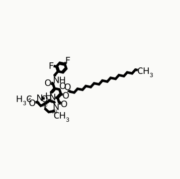 CCCCCCCCCCCCCCCCCC(=O)Oc1c2n(cc(C(=O)NCc3ccc(F)cc3F)c1=O)[C@@H]1CN(C2=O)[C@@H](C)CC[C@]12CC(OC)=NO2